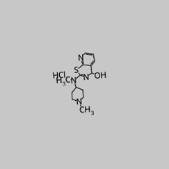 CN1CCC(N(C)C2=NC(O)c3cccnc3S2)CC1.Cl